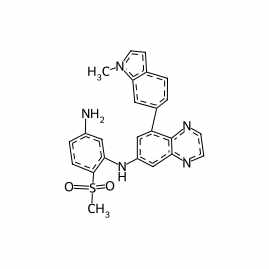 Cn1ccc2ccc(-c3cc(Nc4cc(N)ccc4S(C)(=O)=O)cc4nccnc34)cc21